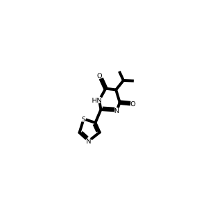 CC(C)C1C(=O)N=C(c2cncs2)NC1=O